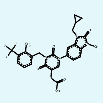 Cc1c(Cn2c(=O)c(OC(=O)O)cn(-c3ccc4c(c3)n(CC3CC3)c(=O)n4C)c2=O)cccc1C(F)(F)F